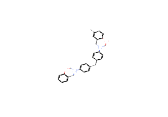 Cc1ccc2c(c1)CN(c1ccc(Cc3ccc(N4COc5ccccc5C4)cc3)cc1)CO2